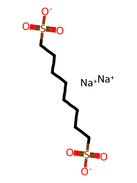 O=S(=O)([O-])CCCCCCCCS(=O)(=O)[O-].[Na+].[Na+]